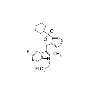 CCOC(=O)Cn1c(C)c(Cc2ccccc2S(=O)(=O)C2CCCCC2)c2cc(F)ccc21